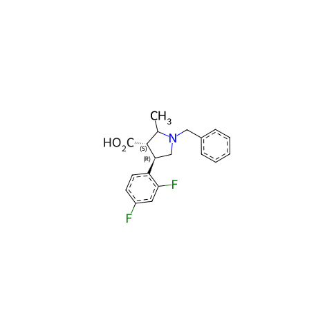 CC1[C@@H](C(=O)O)[C@H](c2ccc(F)cc2F)CN1Cc1ccccc1